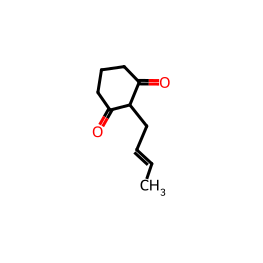 CC=CCC1C(=O)CCCC1=O